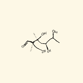 CC(O)[C@@H](O)[C@](C)(O)[C@@](C)(O)C=O